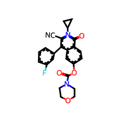 N#Cc1c(-c2cccc(F)c2)c2cc(OC(=O)N3CCOCC3)ccc2c(=O)n1C1CC1